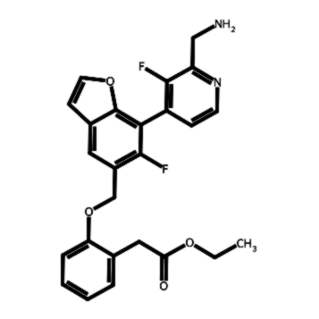 CCOC(=O)Cc1ccccc1OCc1cc2ccoc2c(-c2ccnc(CN)c2F)c1F